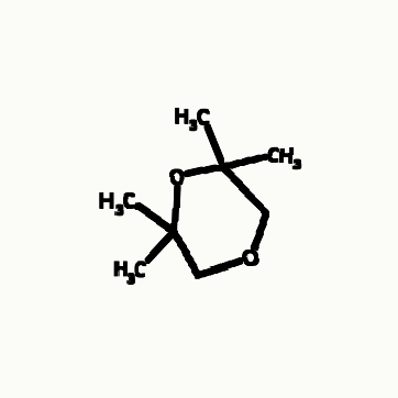 CC1(C)COCC(C)(C)O1